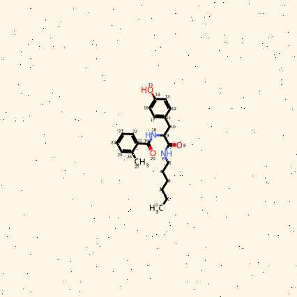 CCCCCCNC(=O)C(Cc1ccc(O)cc1)NC(=O)c1ccccc1C